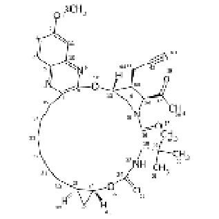 COc1ccc2nc3c(nc2c1)O[C@H]1CN(C(=O)[C@H](C(C)(C)C)NC(=O)O[C@@H]2C[C@H]2CCCCCC3)[C@H](C(C)=O)[C@@H]1CC#N